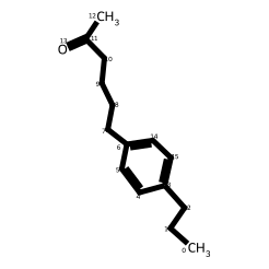 CCCc1ccc(CCCCC(C)=O)cc1